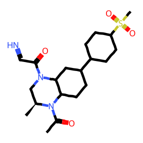 CC(=O)N1C2CCC(C3CCC(S(C)(=O)=O)CC3)CC2N(C(=O)C=N)C[C@@H]1C